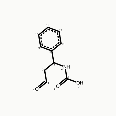 O=CC[C](NC(=O)O)c1ccccc1